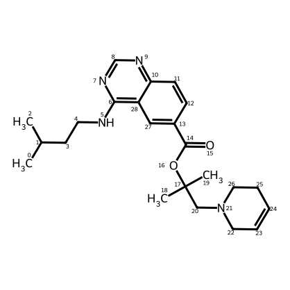 CC(C)CCNc1ncnc2ccc(C(=O)OC(C)(C)CN3CC=CCC3)cc12